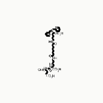 O=CC(CCC(=O)O)NC(=O)NC(CCCCNC(=O)CCCCCCC(=O)NCCCCC(C(=O)O)N(Cc1ccccn1)Cc1ccccn1)C(=O)O